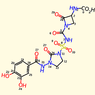 O=C(O)NC1CN(C(=O)NS(=O)(=O)N2CCN(NC(=O)c3ccc(O)c(O)c3)C2=O)C1=O